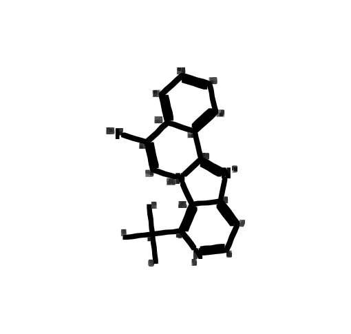 CC(C)(C)c1nccc2nc3c4ccccc4c(F)cn3c12